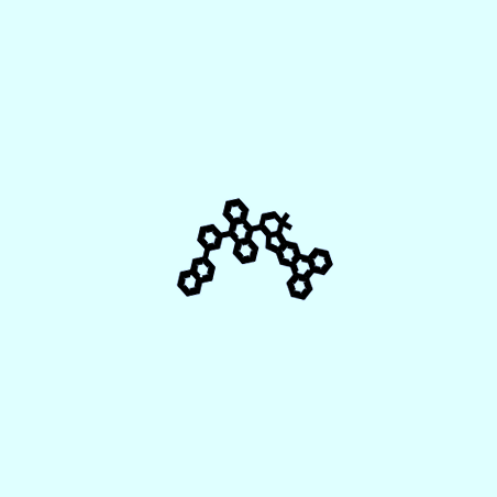 CC1(C)C=CC(c2c3ccccc3c(-c3cccc(-c4ccc5ccccc5c4)c3)c3ccccc23)=C2C=c3cc4c5ccccc5c5ccccc5c4cc3=C21